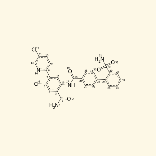 NC(=O)c1cc(Cl)c(-c2ccc(Cl)cn2)cc1NC(=O)c1ccc(-c2ccccc2S(N)(=O)=O)cc1